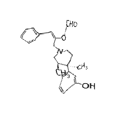 C[C@H]1CN(C/C(=C\c2ccccc2)OC=O)CC[C@@]1(C)c1cccc(O)c1